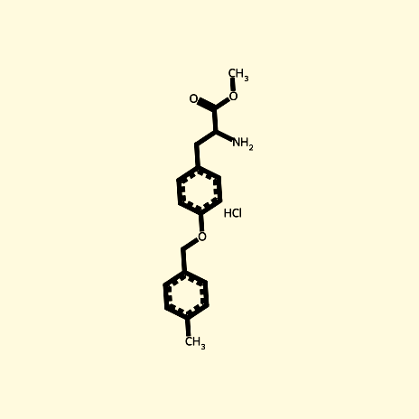 COC(=O)C(N)Cc1ccc(OCc2ccc(C)cc2)cc1.Cl